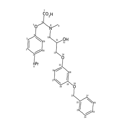 CCCc1ccc(OC(C(=O)O)N(C)CC(O)COc2cccc(OCc3ccccc3)c2)cc1